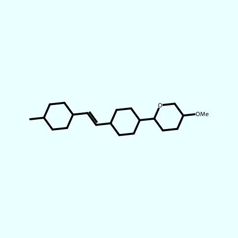 COC1CCC(C2CCC(/C=C/C3CCC(C)CC3)CC2)OC1